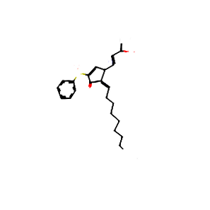 CCCCCC(O)/C=C/C1C=C([S+]([O-])c2ccccc2)C(=O)/C1=C\CCCCCCCC(=O)OCC